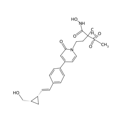 CC(CCn1ccc(-c2ccc(C=C[C@@H]3C[C@@H]3CO)cc2)cc1=O)(C(=O)NO)S(C)(=O)=O